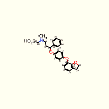 CN(CCC(Oc1ccc(Oc2cccc3c2OCC3)cc1)c1ccccc1)CC(=O)O